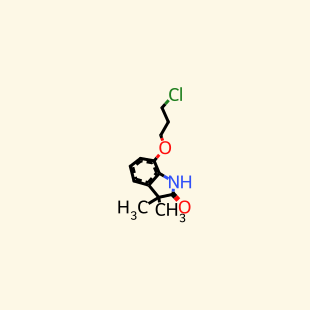 CC1(C)C(=O)Nc2c(OCCCCl)cccc21